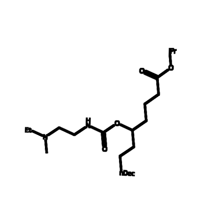 [CH2]C([CH2])OC(=O)CCCC(CCCCCCCCCCCC)OC(=O)NCCN(C)CC